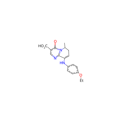 CCOc1ccc(NC2=CCC(C)n3c2ncc(C(=O)O)c3=O)cc1